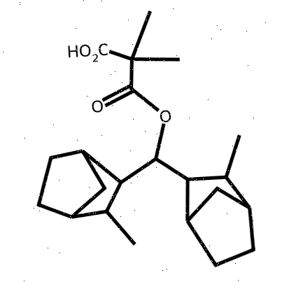 CC1C2CCC(C2)C1C(OC(=O)C(C)(C)C(=O)O)C1C2CCC(C2)C1C